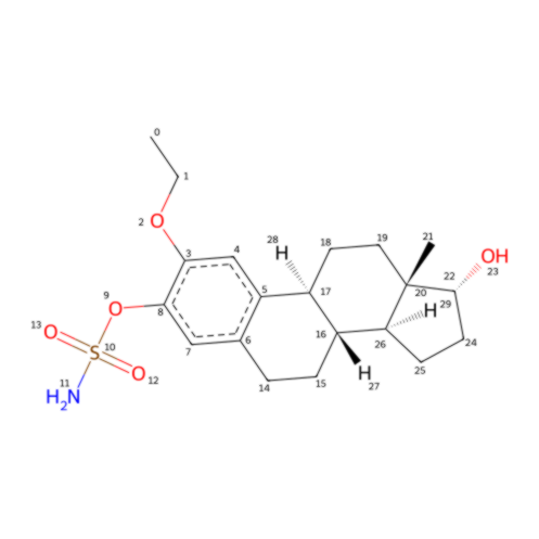 CCOc1cc2c(cc1OS(N)(=O)=O)CC[C@@H]1[C@@H]2CC[C@]2(C)[C@H](O)CC[C@@H]12